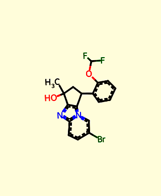 CC1(O)CC(c2ccccc2OC(F)F)c2c1nc1ccc(Br)cn21